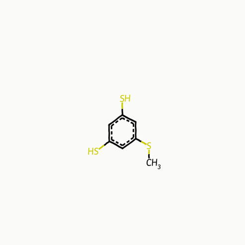 CSc1cc(S)cc(S)c1